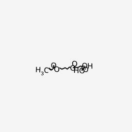 CC=CC(=O)OCCCCCOC(=O)CCP(=O)(O)O